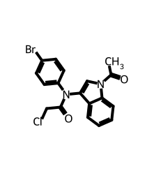 CC(=O)n1cc(N(C(=O)CCl)c2ccc(Br)cc2)c2ccccc21